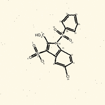 O=C(O)c1c(S(=O)(=O)Cl)c2cc(Cl)ccc2n1S(=O)(=O)c1ccccc1